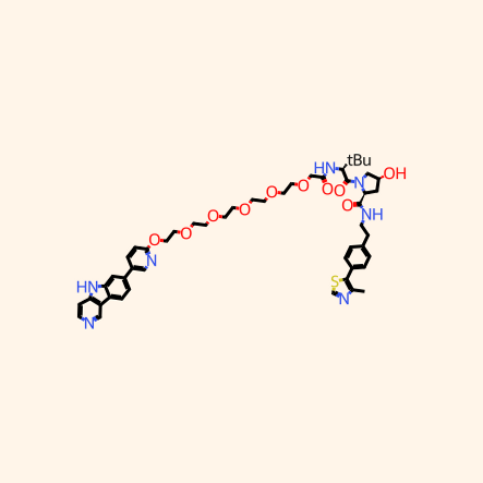 Cc1ncsc1-c1ccc(CCNC(=O)[C@@H]2C[C@H](O)CN2C(=O)[C@@H](NC(=O)COCCOCCOCCOCCOCCOc2ccc(-c3ccc4c(c3)[nH]c3ccncc34)cn2)C(C)(C)C)cc1